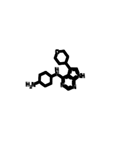 NC1CCC(Nc2ncnc3[nH]cc(C4CCOCC4)c23)CC1